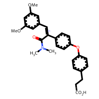 COc1cc(/C=C(\C(=O)N(C)C)c2ccc(Oc3ccc(CCC(=O)O)cc3)cc2)cc(OC)c1